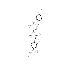 CNC(=O)Nc1ccc2c(c1)CC[C@@]21OC(=O)N(CC(=O)N(Cc2ccc(OC)cc2)C(C)C2CC2)C1=O